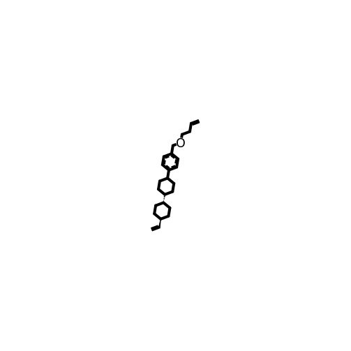 C=CCCOCc1ccc(C2CCC([C@H]3CC[C@H](C=C)CC3)CC2)cc1